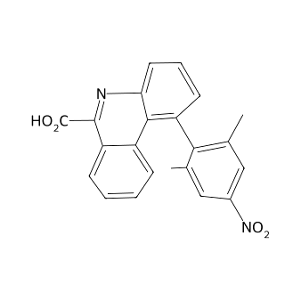 Cc1cc([N+](=O)[O-])cc(C)c1-c1cccc2nc(C(=O)O)c3ccccc3c12